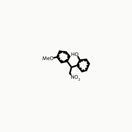 COc1cccc(C(C[N+](=O)[O-])c2ccccc2O)c1